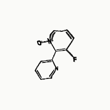 [O-][n+]1cccc(F)c1-c1ccccn1